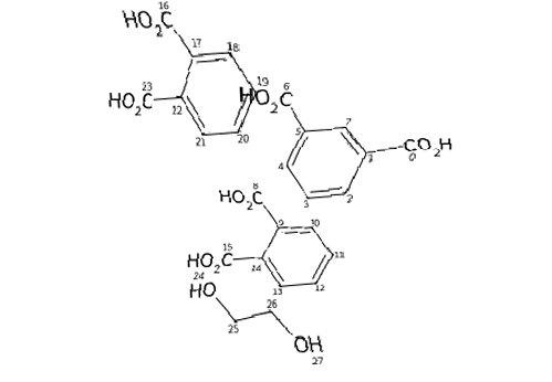 O=C(O)c1cccc(C(=O)O)c1.O=C(O)c1ccccc1C(=O)O.O=C(O)c1ccccc1C(=O)O.OCCO